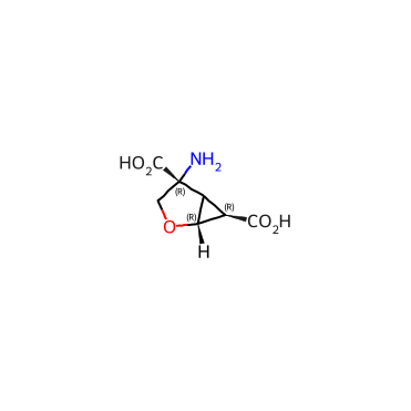 N[C@@]1(C(=O)O)CO[C@@H]2C1[C@H]2C(=O)O